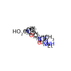 CCNc1ncc2c(n1)N(C)CCN(Cc1cccc(OC(CN(C)C(=O)O)c3ccccc3)c1)C2=O